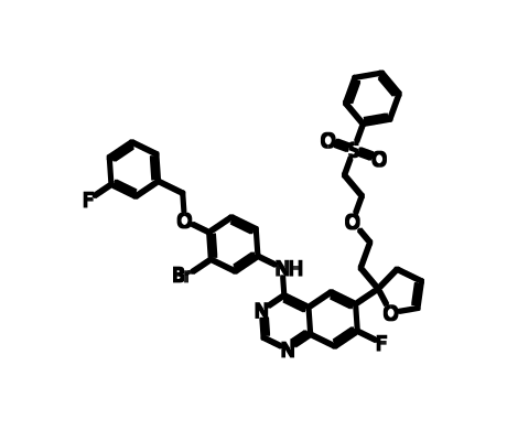 O=S(=O)(CCOCCC1(c2cc3c(Nc4ccc(OCc5cccc(F)c5)c(Br)c4)ncnc3cc2F)CC=CO1)c1ccccc1